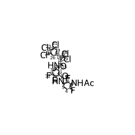 CC(=O)Nc1c(F)ccc(NC(=O)c2cc(NC(=O)C3[C@H](c4cc(Cl)c(Cl)c(Cl)c4)C3(Cl)Cl)cc(F)c2F)c1F